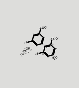 O.O.O.O=C([O-])c1cccc(F)c1.O=C([O-])c1cccc(F)c1.[Cu+2]